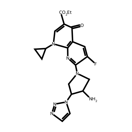 CCOC(=O)c1cn(C2CC2)c2nc(N3CC(N)C(n4ccnn4)C3)c(F)cc2c1=O